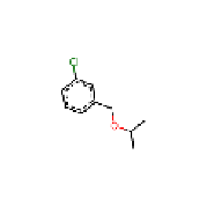 C[C](C)OCc1cccc(Cl)c1